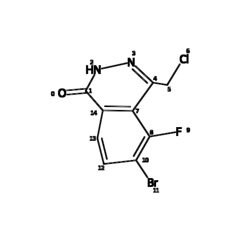 O=c1[nH]nc(CCl)c2c(F)c(Br)ccc12